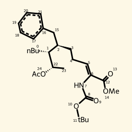 CCCC[C@H]([C@H](CCC=C(NC(=O)OC(C)(C)C)C(=O)OC)Cc1ccccc1)[C@H](C)OC(C)=O